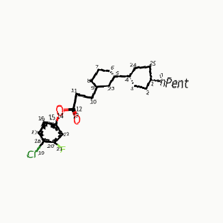 CCCCC[C@H]1CC[C@H]([C@H]2CCCC(CCC(=O)Oc3ccc(Cl)c(F)c3)C2)CC1